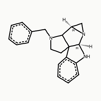 c1ccc(CN2CCC34c5ccccc5N[C@@H]3N3C[C@@H]3C24)cc1